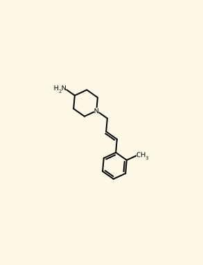 Cc1ccccc1/C=C/CN1CCC(N)CC1